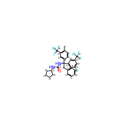 Cc1ccc(C(Cc2ccccc2)(NC(=O)NC2CCCC2)c2cc(F)cc(C(F)(F)F)c2)cc1C(F)(F)F